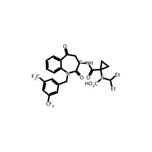 CCC(CC)N(C(=O)O)C1(C(=O)N[C@@H]2CC(=O)c3ccccc3N(Cc3cc(C(F)(F)F)cc(C(F)(F)F)c3)C2=O)CC1